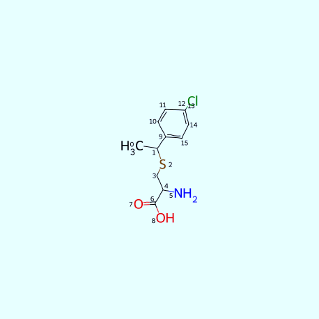 CC(SCC(N)C(=O)O)c1ccc(Cl)cc1